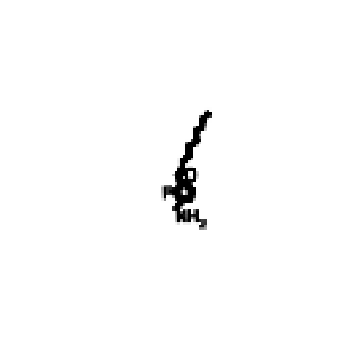 CCCCCCCCc1cc2c(F)c(CN)ccc2o1